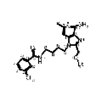 CCOCc1nc2c(N)nc(C)cc2n1CCCCNC(=O)c1cccc(C(F)(F)F)c1